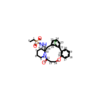 CCS(=O)(=O)N[C@H]1CCCN2C(=O)CCOc3ccccc3-c3cccc(c3F)C[C@@H]12